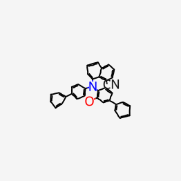 N#Cc1cccc2cccc(N3c4ccc(-c5ccccc5)cc4Oc4cc(-c5ccccc5)ccc43)c12